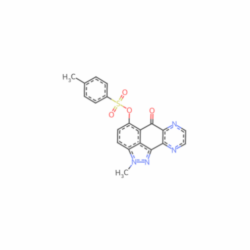 Cc1ccc(S(=O)(=O)Oc2ccc3c4c(nn3C)-c3nccnc3C(=O)c24)cc1